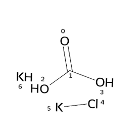 O=C(O)O.[Cl][K].[KH]